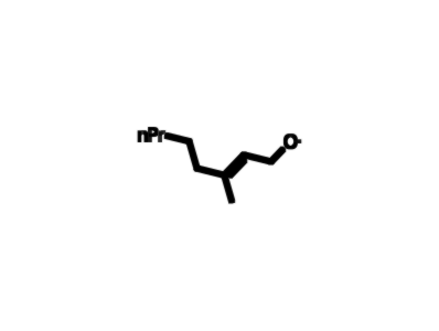 CCCCCC(C)=CC[O]